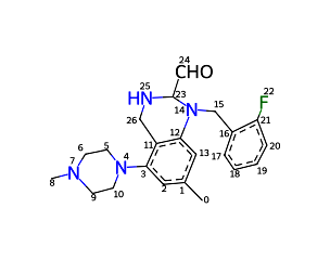 Cc1cc(N2CCN(C)CC2)c2c(c1)N(Cc1ccccc1F)C(C=O)NC2